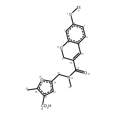 CCOc1ccc2c(c1)OCC(C(=O)N(C)Cc1cc(C(=O)O)c(C)o1)=C2